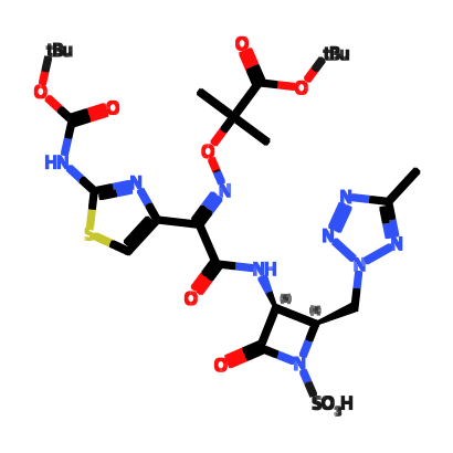 Cc1nnn(C[C@@H]2[C@H](NC(=O)C(=NOC(C)(C)C(=O)OC(C)(C)C)c3csc(NC(=O)OC(C)(C)C)n3)C(=O)N2S(=O)(=O)O)n1